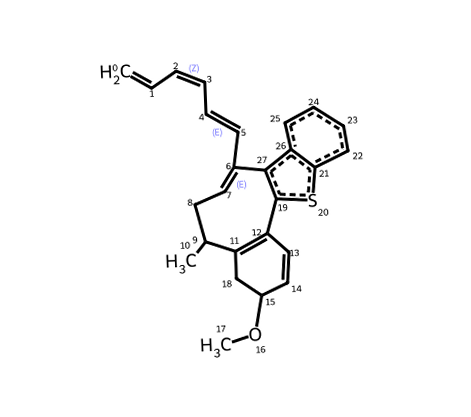 C=C\C=C/C=C/C1=C\CC(C)C2=C(C=CC(OC)C2)c2sc3ccccc3c21